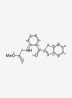 COC(=O)CNc1ccccc1C(=O)C1=Cc2ccccc2C1